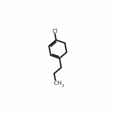 CCCC1=CC=C(Cl)CC1